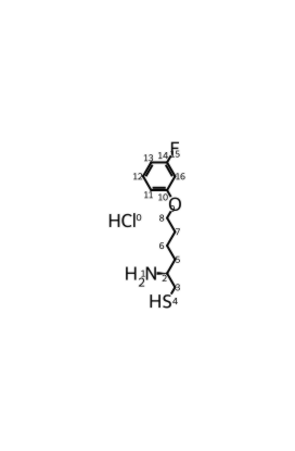 Cl.N[C@H](CS)CCCCOc1cccc(F)c1